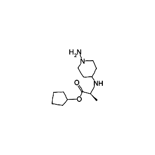 C[C@H](NC1CCN(N)CC1)C(=O)OC1CCCC1